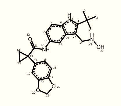 CC(C)(C)c1[nH]c2ccc(NC(=O)C3(c4ccc5c(c4)OCO5)CC3)cc2c1CNO